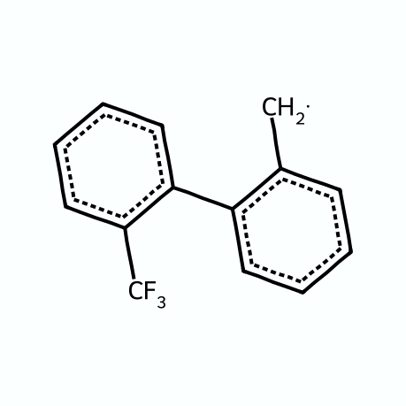 [CH2]c1ccccc1-c1ccccc1C(F)(F)F